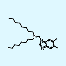 CCCCCCCCN(CCCCCCCC)Cn1cnc2cc(C)c(C)cc21